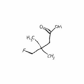 CC(C)(CF)CC(=O)O